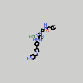 Cl.O=C(Cc1ccccc1)NC1CC(n2cnc3c(Nc4ccc(C5CCN(CC6CCNCC6)CC5)cc4)ncnc32)C1